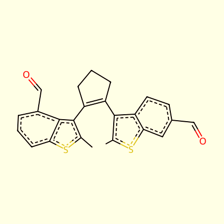 Cc1sc2cc(C=O)ccc2c1C1=C(c2c(C)sc3cccc(C=O)c23)CCC1